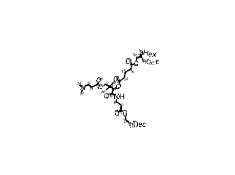 CCCCCCCCCCCOC(=O)CCNC(=O)[C@H](OC(=O)CCCC(=O)OCC(CCCCCC)CCCCCCCC)C(C)(C)COC(=O)CCN(C)C